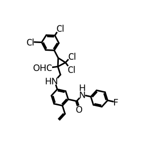 C=Cc1ccc(NCC2(C=O)C(c3cc(Cl)cc(Cl)c3)C2(Cl)Cl)cc1C(=O)Nc1ccc(F)cc1